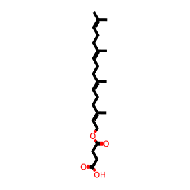 CC(C)=CCC/C(C)=C/CC/C(C)=C/CC/C(C)=C/COC(=O)CCC(=O)O